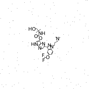 CN(C)CCCn1nc(-c2cnc3[nH]cc(OC(=O)NC(C)(C)CO)c3n2)c2cc(OC(F)F)ccc21